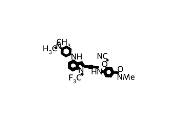 CNC(=O)c1ccc(NCC#Cc2cc3c(N[C@H]4CC[C@H](N(C)C)CC4)cccc3n2CC(F)(F)F)c(OCC#N)c1